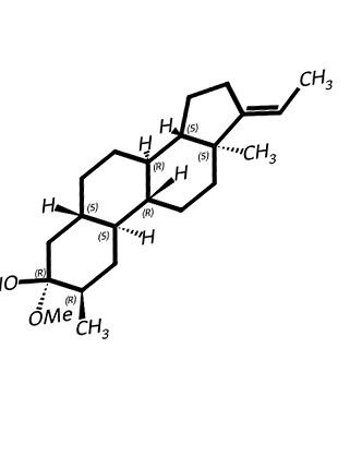 CC=C1CC[C@H]2[C@@H]3CC[C@H]4C[C@@](O)(OC)[C@H](C)C[C@@H]4[C@H]3CC[C@]12C